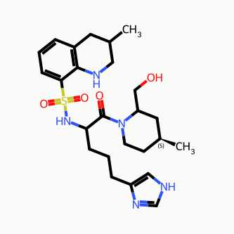 CC1CNc2c(cccc2S(=O)(=O)NC(CCCc2c[nH]cn2)C(=O)N2CC[C@H](C)CC2CO)C1